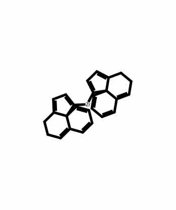 C1=CC2=CCCC3=CC=[C]([Zr][C]4=CC=C5CCC=C6C=CC=CC654)C23C=C1